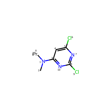 CC(C)N(C)c1cc(Cl)nc(Cl)n1